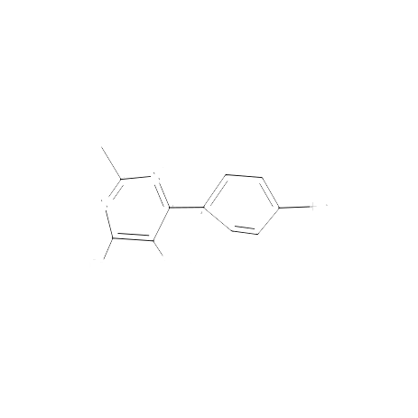 Cc1nc(-c2ccc(F)cc2)c(C=O)c(C(C)C)n1